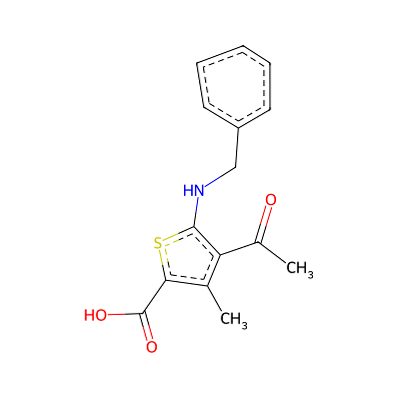 CC(=O)c1c(NCc2ccccc2)sc(C(=O)O)c1C